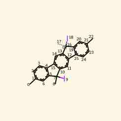 Cc1ccc2c(c1)C(C)(I)c1cc3c(cc1-2)[C@@](C)(I)c1cc(C)ccc1-3